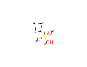 O=S(=O)(O)C1[CH]CC1